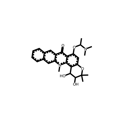 CC(Oc1cc2c(c3c1c(=O)c1cc4ccccc4cc1n3C)C(O)C(O)C(C)(C)O2)N(C)C